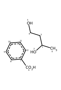 CC(O)CCO.O=C(O)c1ccccc1